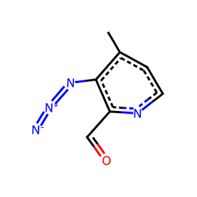 Cc1ccnc(C=O)c1N=[N+]=[N-]